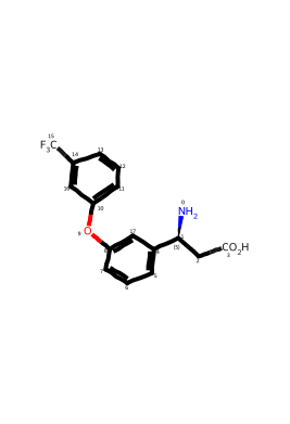 N[C@@H](CC(=O)O)c1cccc(Oc2cccc(C(F)(F)F)c2)c1